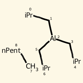 CC(C)[CH2][Al]([CH2]C(C)C)[CH2]C(C)C.CCCCCC